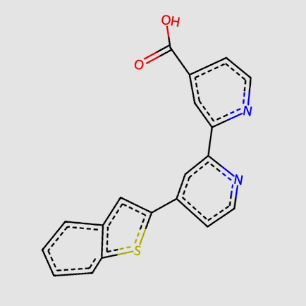 O=C(O)c1ccnc(-c2cc(-c3cc4ccccc4s3)ccn2)c1